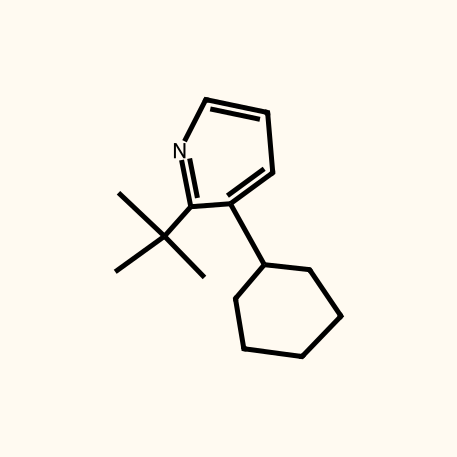 CC(C)(C)c1ncccc1C1CCCCC1